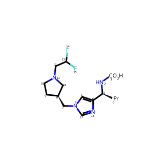 CC(C)[C@H](NC(=O)O)c1cn(C[C@H]2CCN(CC(F)F)C2)cn1